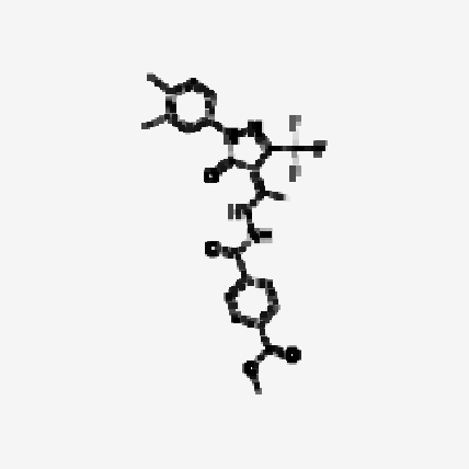 COC(=O)c1ccc(C(=O)NN/C(C)=C2\C(=O)N(c3ccc(C)c(C)c3)N=C2C(F)(F)F)cc1